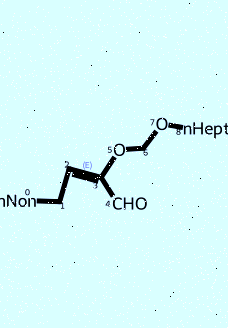 CCCCCCCCCC/C=C(\C=O)OCOCCCCCCC